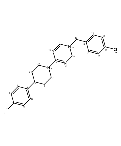 Fc1ccc(C2CCN(C3=NCN(Cc4ccc(Cl)cc4)C=N3)CC2)cc1